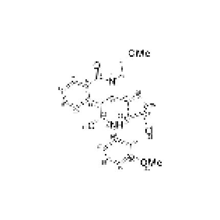 COCCN1C(=O)c2ccccc2C(C(=O)Nc2cccc(OC)c2)C1c1ccc(Cl)s1